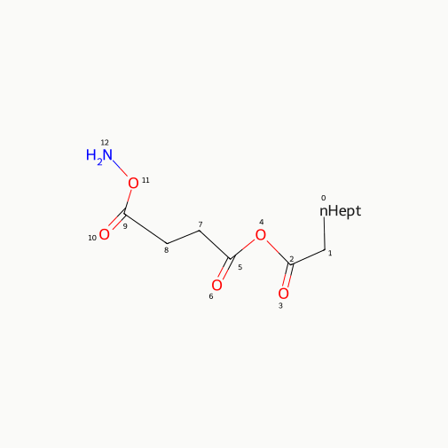 CCCCCCCCC(=O)OC(=O)CCC(=O)ON